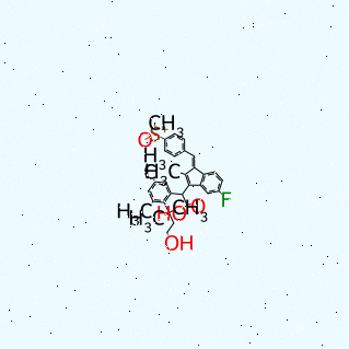 CC1=C(C(C(=O)O)c2cc(C)cc(C)c2C(C)(C)CCO)c2cc(F)ccc2/C1=C/c1ccc([S+](C)[O-])cc1